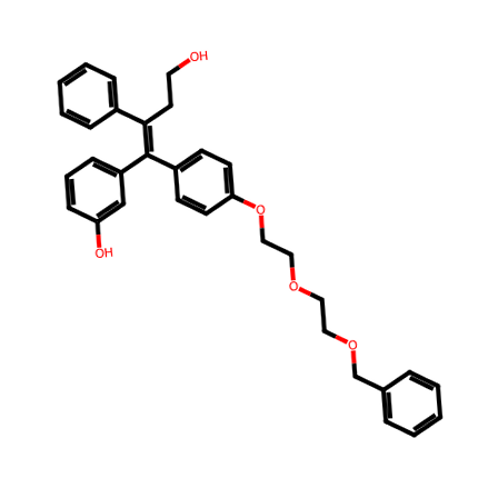 OCC/C(=C(\c1ccc(OCCOCCOCc2ccccc2)cc1)c1cccc(O)c1)c1ccccc1